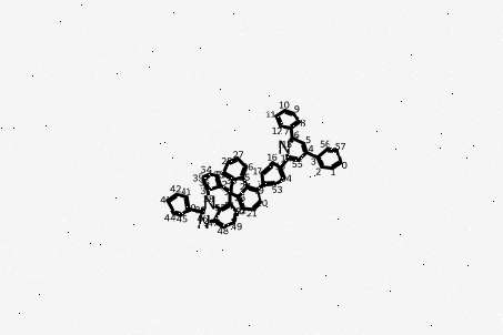 c1ccc(-c2cc(-c3ccccc3)nc(-c3ccc(-c4cccc5c4-c4ccccc4C54c5ccccc5-n5c(-c6ccccc6)nc6cccc4c65)cc3)c2)cc1